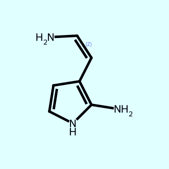 N/C=C\c1cc[nH]c1N